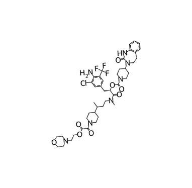 CC(CCN(C)C(=O)[C@@H](Cc1cc(Cl)c(N)c(C(F)(F)F)c1)OC(=O)N1CCC(N2CCc3ccccc3NC2=O)CC1)C1CCN(C(=O)C(=O)OCCN2CCOCC2)CC1